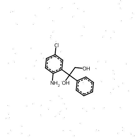 Nc1ccc(Cl)cc1C(O)(CO)c1ccccc1